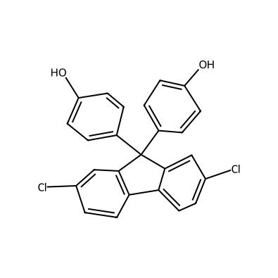 Oc1ccc(C2(c3ccc(O)cc3)c3cc(Cl)ccc3-c3ccc(Cl)cc32)cc1